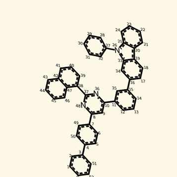 c1ccc(-c2ccc(-c3cc(-c4cccc(-c5ccc6c7ccccc7n(-c7ccccc7)c6c5)c4)nc(-c4cccc5ccccc45)n3)cc2)cc1